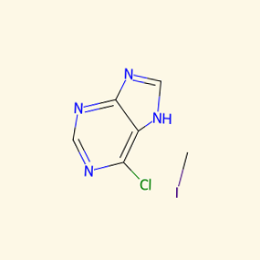 CI.Clc1ncnc2nc[nH]c12